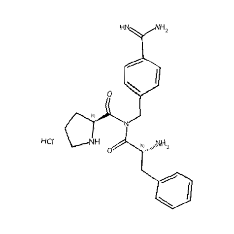 Cl.N=C(N)c1ccc(CN(C(=O)[C@H](N)Cc2ccccc2)C(=O)[C@@H]2CCCN2)cc1